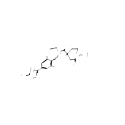 C[C@H]1COc2cc(-c3noc(C(F)(F)F)n3)cc(F)c2CN1C(=O)C1(C)CCN(C)C(=O)C1